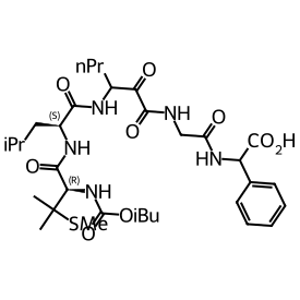 CCCC(NC(=O)[C@H](CC(C)C)NC(=O)[C@@H](NC(=O)OCC(C)C)C(C)(C)SC)C(=O)C(=O)NCC(=O)NC(C(=O)O)c1ccccc1